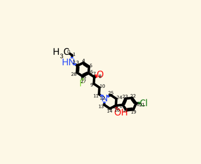 CCNc1ccc(C(=O)CCCN2CCC(O)(c3ccc(Cl)cc3)CC2)c(F)c1